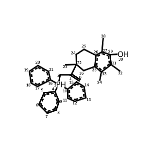 C=C(C[PH](c1ccccc1)(c1ccccc1)c1ccccc1)C1(C)CCc2c(C)c(O)c(C)c(C)c2C1